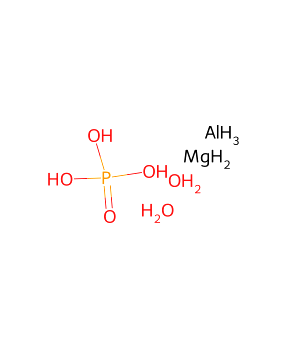 O.O.O=P(O)(O)O.[AlH3].[MgH2]